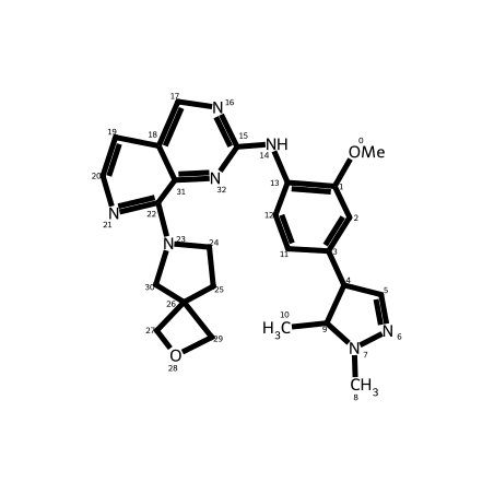 COc1cc(C2C=NN(C)C2C)ccc1Nc1ncc2ccnc(N3CCC4(COC4)C3)c2n1